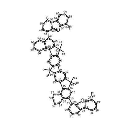 CC1(C)c2cc3c(cc2-c2cc4c(cc21)-c1c(cc(-c2cccc5c2oc2c(F)cccc25)c2ccccc12)C4(C)C)C(C)(C)c1cc(-c2cccc4c2oc2c(F)cccc24)c2ccccc2c1-3